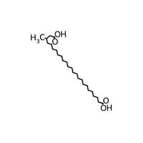 CC(CCCCCCCCCCCCCCCCCCCCCC(=O)O)CC(=O)O